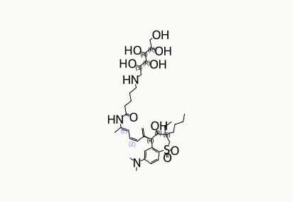 C=C(/C=C\C=C(/C)NC(=O)CCCCNC[C@H](O)[C@@H](O)[C@H](O)[C@H](O)CO)[C@@H]1c2cc(N(C)C)ccc2S(=O)(=O)C[C@@](CC)(CCCC)[C@@H]1O